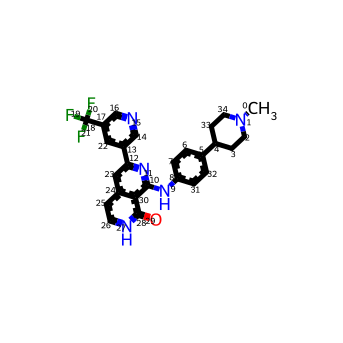 CN1CCC(c2ccc(Nc3nc(-c4cncc(C(F)(F)F)c4)cc4cc[nH]c(=O)c34)cc2)CC1